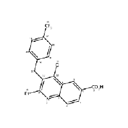 CCc1nc2ccc(C(=O)O)cc2c(Cl)c1Cc1ccc(C(F)(F)F)cc1